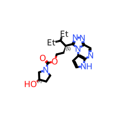 CCC(CC)[C@H](CCOC(=O)N1CC[C@@H](O)C1)c1nnc2cnc3[nH]ccc3n12